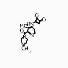 CN1CCN(C(=O)c2nccc(Nc3cc(=O)c3=O)c2O)CC1